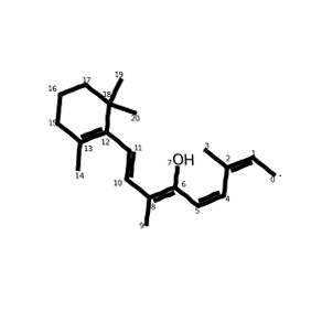 [CH2]/C=C(C)\C=C/C(O)=C(C)C=CC1=C(C)CCCC1(C)C